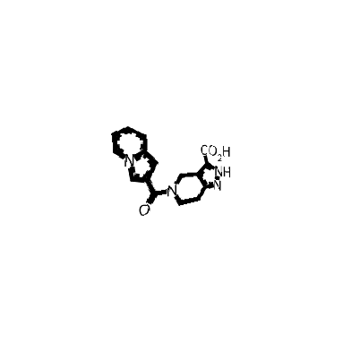 O=C(O)c1[nH]nc2c1CN(C(=O)c1cc3ccccn3c1)CC2